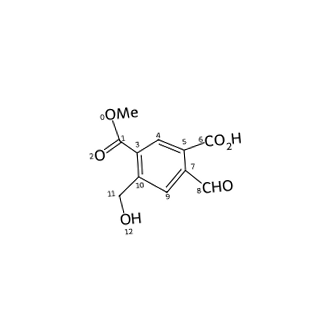 COC(=O)c1cc(C(=O)O)c(C=O)cc1CO